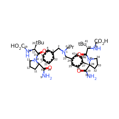 CC(C)N(Cc1ccc([C@]2(C(N)=O)CCCN2C(=O)[C@@H](NC(=O)O)C(C)(C)C)cc1)Cc1ccc([C@]2(C(N)=O)CCCN2C(=O)[C@@H](NC(=O)O)C(C)(C)C)cc1